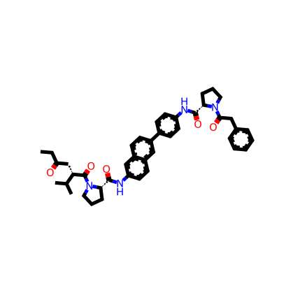 CCC(=O)C[C@H](C(=O)N1CCC[C@H]1C(=O)Nc1ccc2cc(-c3ccc(NC(=O)[C@@H]4CCCN4C(=O)Cc4ccccc4)cc3)ccc2c1)C(C)C